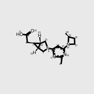 Cc1nc(N2C[C@@H]3[C@@H](CC(=O)O)[C@@H]3C2)cc(N2CC[C@@H]2C)n1